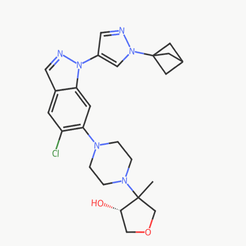 CC1(N2CCN(c3cc4c(cnn4-c4cnn(C56CC(C5)C6)c4)cc3Cl)CC2)COC[C@@H]1O